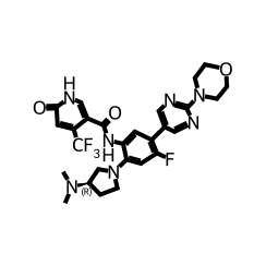 CN(C)[C@@H]1CCN(c2cc(F)c(-c3cnc(N4CCOCC4)nc3)cc2NC(=O)c2c[nH]c(=O)cc2C(F)(F)F)C1